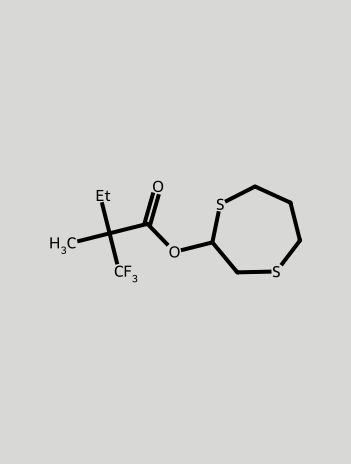 CCC(C)(C(=O)OC1CSCCCS1)C(F)(F)F